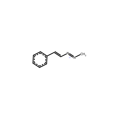 C/N=N/C=Cc1ccccc1